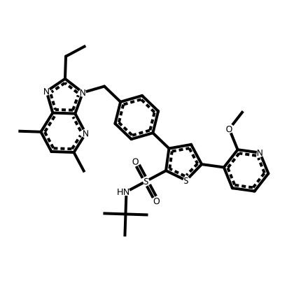 CCc1nc2c(C)cc(C)nc2n1Cc1ccc(-c2cc(-c3cccnc3OC)sc2S(=O)(=O)NC(C)(C)C)cc1